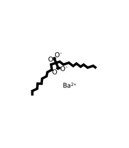 CCCCCCCCCCC(CCCCCCCCCC)(C(=O)[O-])C(=O)[O-].[Ba+2]